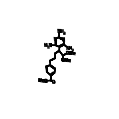 COC(=O)c1ccc(CCCC(c2c(N)nc(N)nc2N)C(OC)OC)cc1